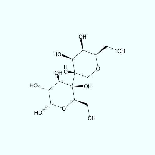 OC[C@H]1OC[C@](O)([C@@]2(O)[C@H](O)[C@@H](O)[C@@H](O)O[C@@H]2CO)[C@@H](O)[C@H]1O